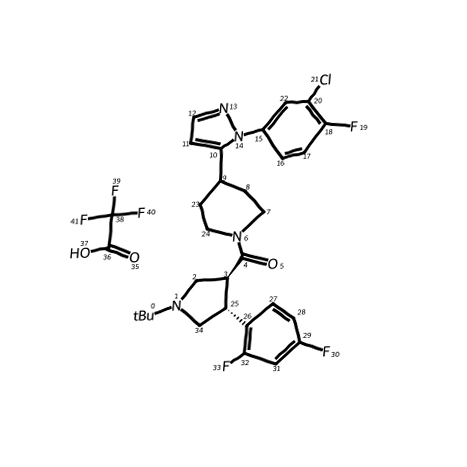 CC(C)(C)N1C[C@@H](C(=O)N2CCC(c3ccnn3-c3ccc(F)c(Cl)c3)CC2)[C@H](c2ccc(F)cc2F)C1.O=C(O)C(F)(F)F